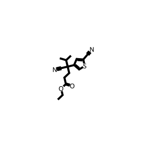 CCOC(=O)CCC(C#N)(c1csc(C#N)c1)C(C)C